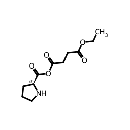 CCOC(=O)CCC(=O)OC(=O)[C@@H]1CCCN1